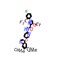 CCOc1cn(-c2ccc(F)cc2C(F)(F)F)nc1C(=O)Nc1ccc(Oc2ccnc3cc(OC)c(OC)cc23)cn1